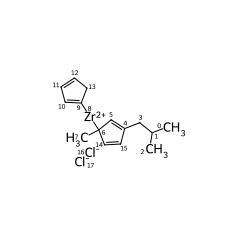 CC(C)CC1=C[C](C)([Zr+2][C]2=CC=CC2)C=C1.[Cl-].[Cl-]